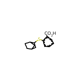 O=C(O)c1ccccc1SC1CC2CCC1C2